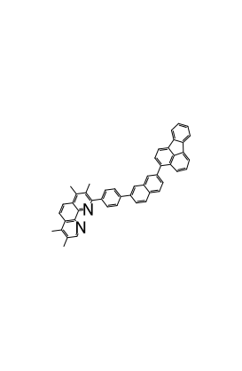 Cc1cnc2c(ccc3c(C)c(C)c(-c4ccc(-c5ccc6ccc(-c7ccc8c9c(cccc79)-c7ccccc7-8)cc6c5)cc4)nc32)c1C